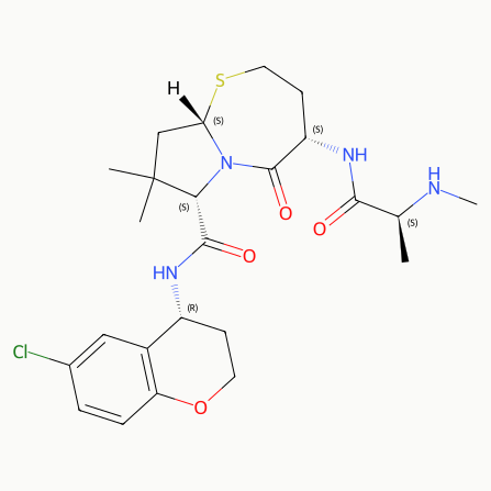 CN[C@@H](C)C(=O)N[C@H]1CCS[C@H]2CC(C)(C)[C@@H](C(=O)N[C@@H]3CCOc4ccc(Cl)cc43)N2C1=O